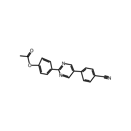 CC(=O)Oc1ccc(-c2ncc(-c3ccc(C#N)cc3)cn2)cc1